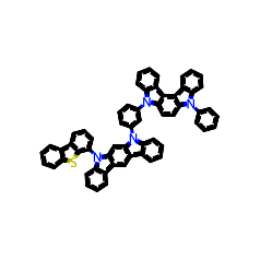 c1ccc(-n2c3ccccc3c3c4c5ccccc5n(-c5cccc(-n6c7ccccc7c7cc8c9ccccc9n(-c9cccc%10c9sc9ccccc9%10)c8cc76)c5)c4ccc32)cc1